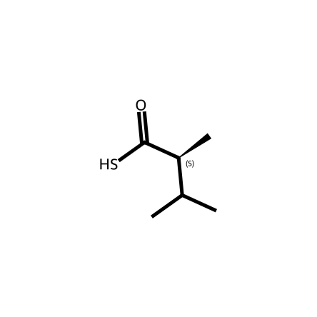 CC(C)[C@H](C)C(=O)S